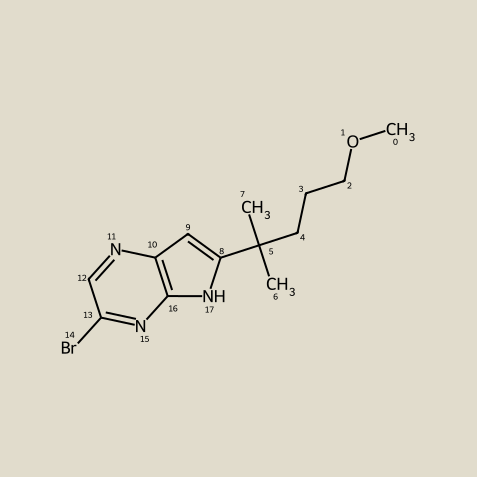 COCCCC(C)(C)c1cc2ncc(Br)nc2[nH]1